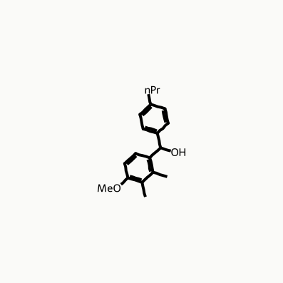 CCCc1ccc(C(O)c2ccc(OC)c(C)c2C)cc1